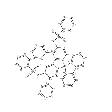 O=S(=O)(Oc1ccc(C2(c3ccc(OS(=O)(=O)c4ccccc4)c(-c4ccccc4)c3)c3ccccc3-c3ccccc32)cc1-c1ccccc1)c1ccccc1